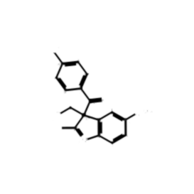 CCC1=Nc2ccc(OC)cc2C1(CC(=O)O)C(=O)c1ccc(Cl)cc1